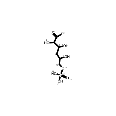 O=C(F)C(O)C(O)CC(O)COP(=O)(O)O